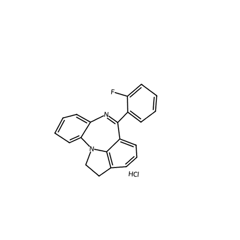 Cl.Fc1ccccc1C1=Nc2ccccc2N2CCc3cccc1c32